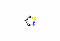 [c]1[c]ns[c]1